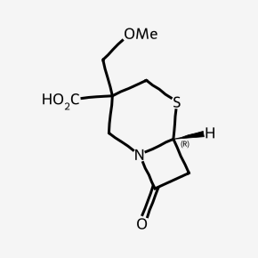 COCC1(C(=O)O)CS[C@@H]2CC(=O)N2C1